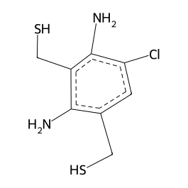 Nc1c(Cl)cc(CS)c(N)c1CS